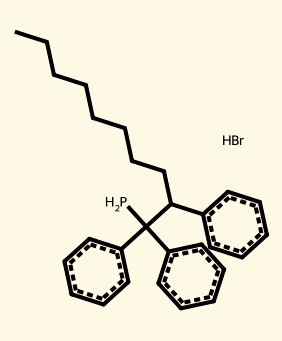 Br.CCCCCCCCC(c1ccccc1)C(P)(c1ccccc1)c1ccccc1